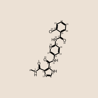 CNC(=O)c1nc[nH]c1C(=O)Nc1ccc(NC(=O)c2ccccc2Cl)nc1